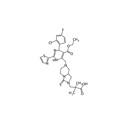 CCOC(=O)C1=C(CN2CCN3C(=S)N(CC(C)(C)C(=O)O)CC3C2)NC(c2nccs2)=NC1c1ccc(F)cc1Cl